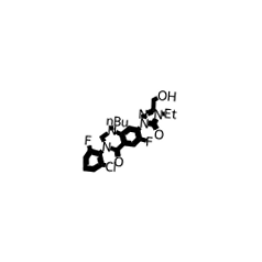 CCCCN1CN(c2c(F)cccc2Cl)C(=O)c2cc(F)c(-n3nc(CO)n(CC)c3=O)cc21